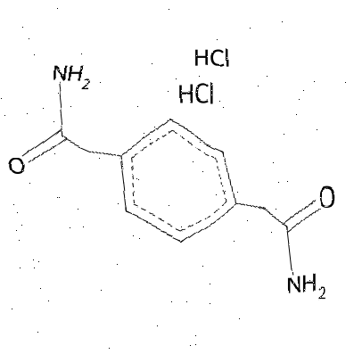 Cl.Cl.NC(=O)c1ccc(C(N)=O)cc1